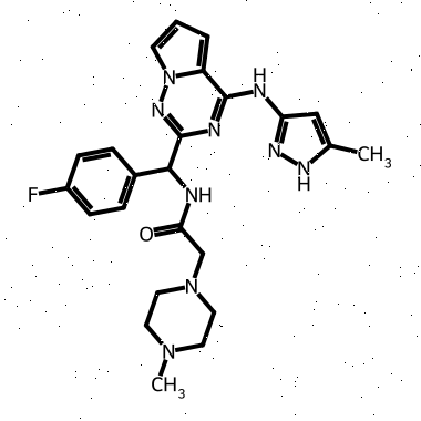 Cc1cc(Nc2nc(C(NC(=O)CN3CCN(C)CC3)c3ccc(F)cc3)nn3cccc23)n[nH]1